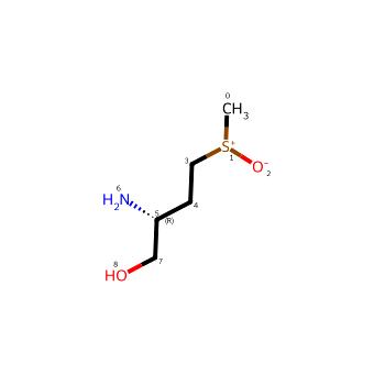 C[S+]([O-])CC[C@@H](N)CO